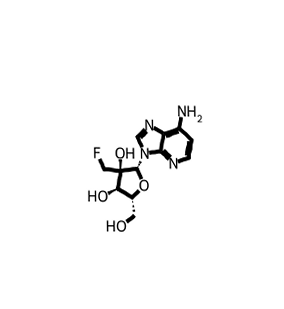 Nc1ccnc2c1ncn2[C@@H]1O[C@H](CO)[C@@H](O)[C@]1(O)CF